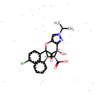 CC(C)n1cc2c(n1)[C@@]1(O)C(=O)C(c3ccc(Br)cc3)(O2)[C@H](c2ccccc2)[C@@H]1C(=O)O